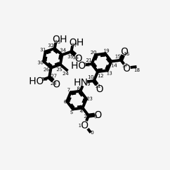 COC(=O)c1cccc(NC(=O)c2cc(C(=O)OC)ccc2O)c1.Cc1c(C(=O)O)ccc(O)c1C(=O)O